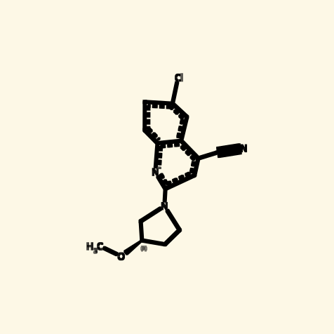 CO[C@@H]1CCN(c2cc(C#N)c3cc(Cl)ccc3n2)C1